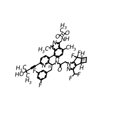 Cc1ccc(-c2ccc(C#CC(C)(C)O)nc2[C@H](Cc2cc(F)cc(F)c2)NC(=O)Cn2nc(C(F)F)c3c2C(F)(F)[C@@H]2CC[C@H]32)c2c1c(NS(C)(=O)=O)nn2C